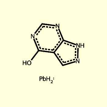 Oc1ncnc2[nH]ncc12.[PbH2]